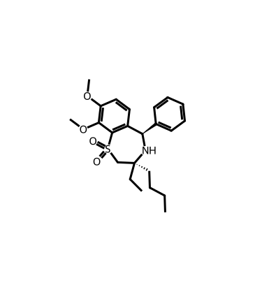 CCCC[C@]1(CC)CS(=O)(=O)c2c(ccc(OC)c2OC)[C@@H](c2ccccc2)N1